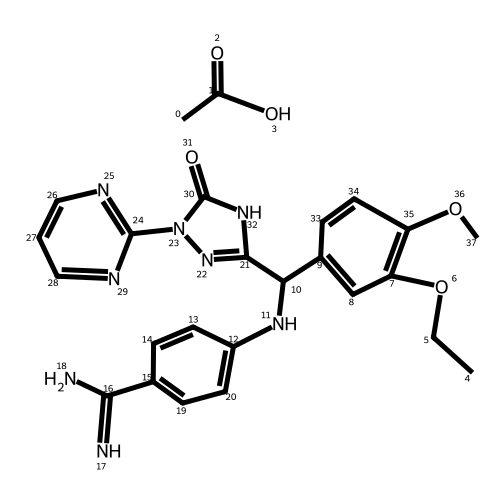 CC(=O)O.CCOc1cc(C(Nc2ccc(C(=N)N)cc2)c2nn(-c3ncccn3)c(=O)[nH]2)ccc1OC